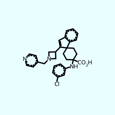 O=C(O)C1(Nc2cccc(Cl)c2)CCC2(CC1)C(C1CN(Cc3ccncc3)C1)=Cc1ccccc12